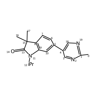 Cc1ncc(-c2ccc3c(c2)N(C(C)C)C(=O)C3(C)C)cn1